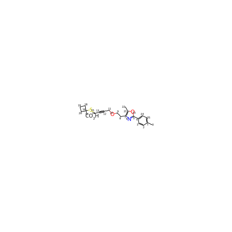 Cc1ccc(-c2nc(CCOCC#CCSC3(C(=O)O)CCC3)c(C)o2)cc1